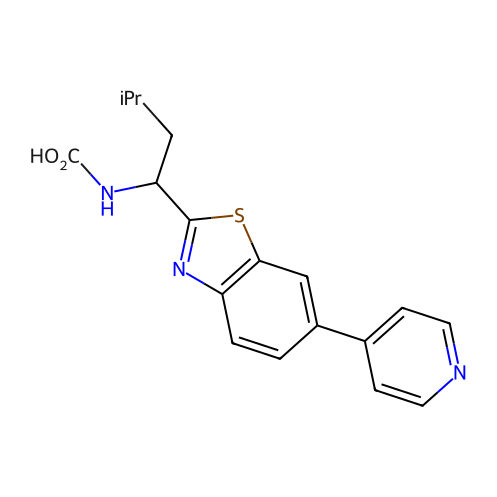 CC(C)CC(NC(=O)O)c1nc2ccc(-c3ccncc3)cc2s1